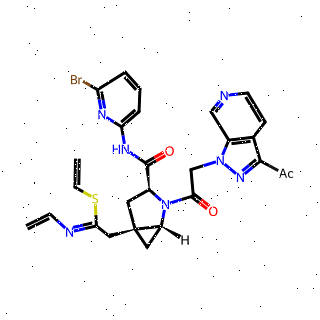 C=C/N=C(/C[C@@]12C[C@@H](C(=O)Nc3cccc(Br)n3)N(C(=O)Cn3nc(C(C)=O)c4ccncc43)[C@@H]1C2)SC=C